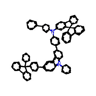 c1ccc(-c2ccc(N(c3ccc(-c4ccc5c(c4)c4cc(-c6ccc(C7(c8ccccc8)c8ccccc8-c8ccccc87)cc6)ccc4n5-c4ccccc4)cc3)c3ccc4c(c3)C3(c5ccccc5-c5ccccc53)c3ccccc3-4)cc2)cc1